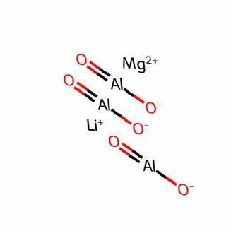 [Li+].[Mg+2].[O]=[Al][O-].[O]=[Al][O-].[O]=[Al][O-]